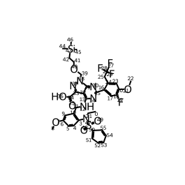 CCN(c1ccc(OC)cc1CNc1nc(-c2cc(F)c(OC)cc2CC(F)(F)F)nc2c1c(C(=O)O)nn2COCC[Si](C)(C)C)S(=O)(=O)c1ccccc1